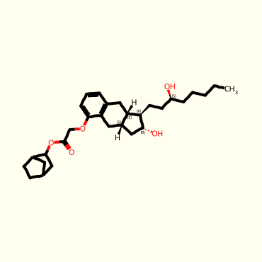 CCCCC[C@H](O)CC[C@@H]1[C@H]2Cc3cccc(OCC(=O)OC4CC5CCC4C5)c3C[C@H]2C[C@H]1O